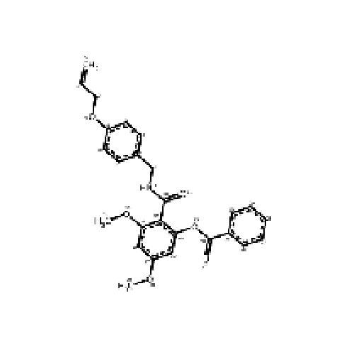 C=CCOc1ccc(CNC(=O)c2c(OC)cc(OC)cc2OC(=O)c2ccccc2)cc1